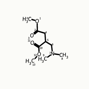 COC(=O)CC(CN(C)C)C(=O)OC